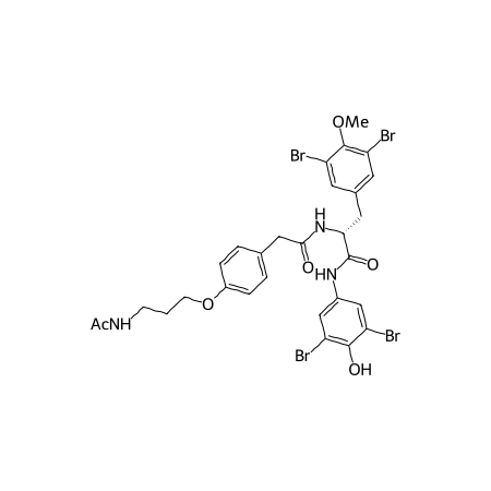 COc1c(Br)cc(C[C@@H](NC(=O)Cc2ccc(OCCCNC(C)=O)cc2)C(=O)Nc2cc(Br)c(O)c(Br)c2)cc1Br